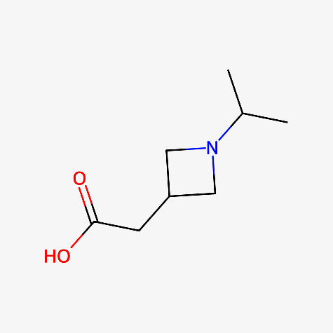 CC(C)N1CC(CC(=O)O)C1